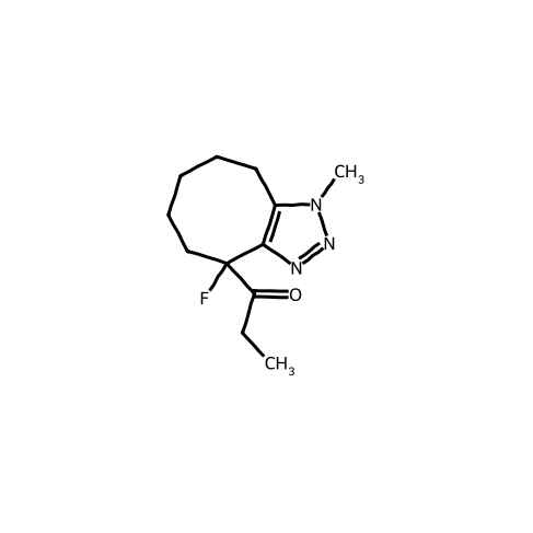 CCC(=O)C1(F)CCCCCc2c1nnn2C